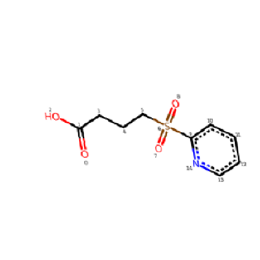 O=C(O)CCCS(=O)(=O)c1ccccn1